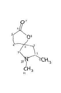 CC1CC2(CCC(=O)O2)CN1C